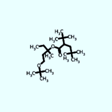 CCC(C)(CCOC(C)(C)C)OC(=O)C(CC(C)(C)C)C(C)(C)C